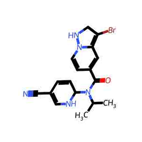 CC(C)N(C(=O)C1=CC2=C(Br)CNN2C=C1)C1C=CC(C#N)=CN1